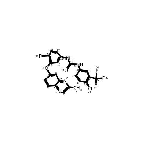 Cc1cnc2ccc(Oc3cc(NC(=O)Nc4ccc(Cl)c(C(F)(F)F)c4)ccc3F)cc2n1